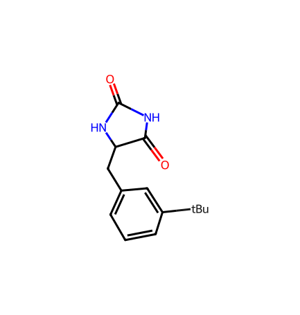 CC(C)(C)c1cccc(CC2NC(=O)NC2=O)c1